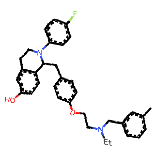 CCN(CCOc1ccc(CC2c3ccc(O)cc3CCN2c2ccc(F)cc2)cc1)Cc1cccc(C)c1